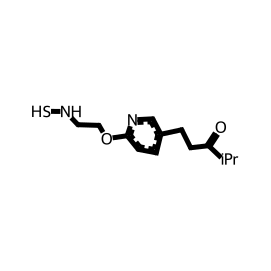 CC(C)C(=O)CCc1ccc(OCCNS)nc1